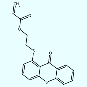 C=CC(=O)OCCSc1cccc2sc3ccccc3c(=O)c12